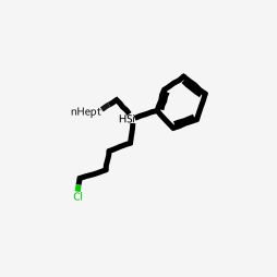 CCCCCCCC[SiH](CCCCCl)c1ccccc1